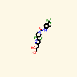 Cc1cc(NC(=O)N2CCC(F)(c3ncc(C[C@H](O)CO)cc3F)CC2)ccc1C(F)(F)F